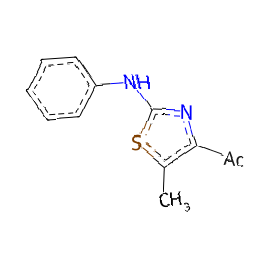 CC(=O)c1nc(Nc2ccccc2)sc1C